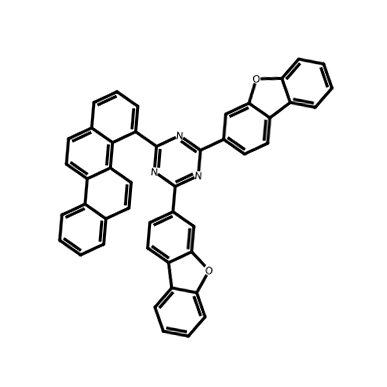 c1ccc2c(c1)ccc1c2ccc2cccc(-c3nc(-c4ccc5c(c4)oc4ccccc45)nc(-c4ccc5c(c4)oc4ccccc45)n3)c21